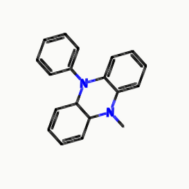 CN1c2ccccc2N(c2ccccc2)C2C=CC=CC21